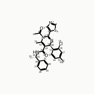 CC(=O)N1C(c2cncs2)=N[C@@H](c2ccc(F)cc2Cl)C(C(=O)N[C@@H](C)c2ccccc2)=C1C